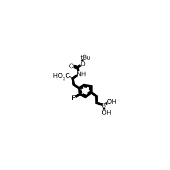 CC(C)(C)OC(=O)N[C@H](Cc1ccc(CCB(O)O)cc1F)C(=O)O